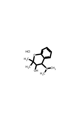 CN(C)C1c2ccccc2OC(C)(C)C1O.Cl